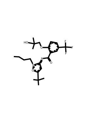 CCCCn1oc(C(C)(C)C)c/c1=N\C(=O)c1cc(C(F)(F)F)ccc1OCC(C)(C)O